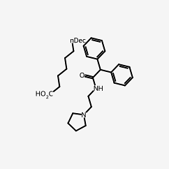 CCCCCCCCCCCCCCCC(=O)O.O=C(NCCN1CCCC1)C(c1ccccc1)c1ccccc1